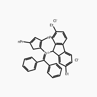 CCCC1=CC(CCC)=[C]([Zr+2](=[C](c2ccccc2)c2ccccc2)[CH]2c3cc(CC)ccc3-c3ccc(CC)cc32)C1.[Cl-].[Cl-]